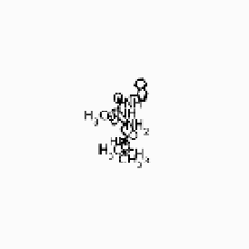 COC[C@H](NC(=O)[C@@H](N)CC(=O)NOC(C)(C)C)C(=O)NCc1cccc2ccccc12